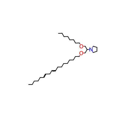 CCCCCC=CCC=CCCCCCCCCOCC(COCCCCCCCC)N1CCCC1